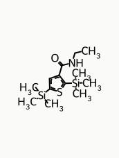 CCNC(=O)c1cc([Si](C)(C)C)sc1[Si](C)(C)C